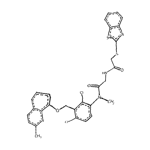 Cc1ccc2cccc(OCc3c(Cl)ccc(N(C)C(=O)CNC(=O)CSc4nc5ccccc5s4)c3Cl)c2n1